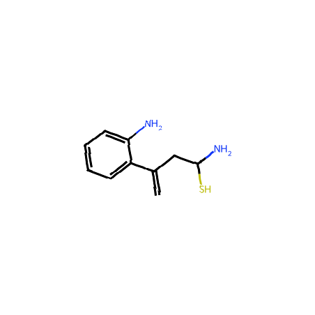 C=C(CC(N)S)c1ccccc1N